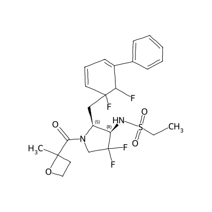 CCS(=O)(=O)N[C@@H]1[C@H](CC2(F)C=CC=C(c3ccccc3)C2F)N(C(=O)C2(C)CCO2)CC1(F)F